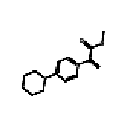 C=C(C(=O)OC)c1ccc(C2CCCCC2)cc1